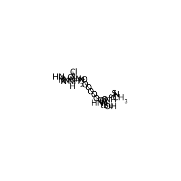 Cc1ncsc1-c1ccc(CNC(=O)C2C[C@@H](O)CN2C(=O)[C@@H](NC(=O)CCOCCOCCOCCOCCOCCC(=O)N2CCN(CC[C@H](NC(=O)C3(N)CCN(c4ncnc5[nH]ccc45)CC3)c3ccc(Cl)cc3)CC2)C(C)(C)C)cc1